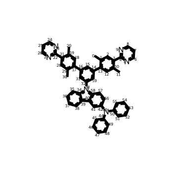 Cc1cc(-c2ncccn2)c(C)cc1-c1cc(-c2cc(C)c(-c3ncccn3)cc2C)cc(-n2c3ccccc3c3cc(N(c4ccccc4)c4ccccc4)ccc32)c1